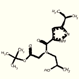 CC(O)CN(CC(=O)OC(C)(C)C)C(=O)c1cc(C(C)C)n[nH]1